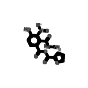 NNC(=O)c1c(C(=O)OC(=O)c2ccco2)ccc(O)c1[N+](=O)[O-]